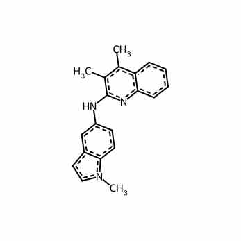 Cc1c(Nc2ccc3c(ccn3C)c2)nc2ccccc2c1C